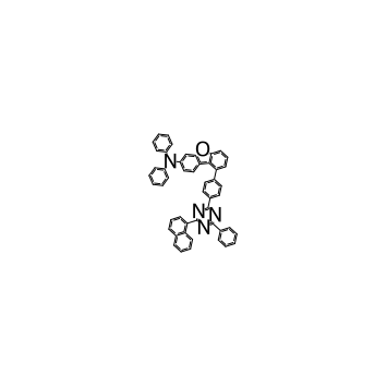 c1ccc(-c2nc(-c3ccc(-c4cccc5oc6cc(N(c7ccccc7)c7ccccc7)ccc6c45)cc3)nc(-c3cccc4ccccc34)n2)cc1